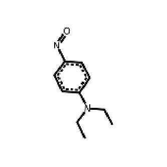 CCN(CC)c1ccc(N=O)cc1